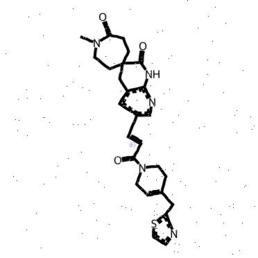 CN1CCC2(CCC1=O)Cc1cc(/C=C/C(=O)N3CC=C(Cc4nccs4)CC3)cnc1NC2=O